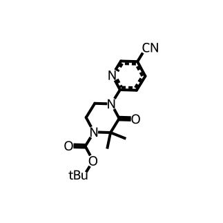 CC(C)(C)OC(=O)N1CCN(c2ccc(C#N)cn2)C(=O)C1(C)C